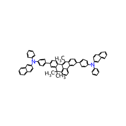 Cc1c2c3c(cccc3c3cc(-c4ccc(N(c5ccccc5)c5ccc6ccccc6c5)cc4)ccc13)C(C)(C)c1cc(-c3ccc(N(c4ccccc4)c4ccc5ccccc5c4)cc3)ccc1-2